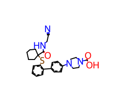 N#CCNC(=O)C1(Sc2ccccc2-c2ccc(N3CCN(C(=O)O)CC3)cc2)CCCCC1